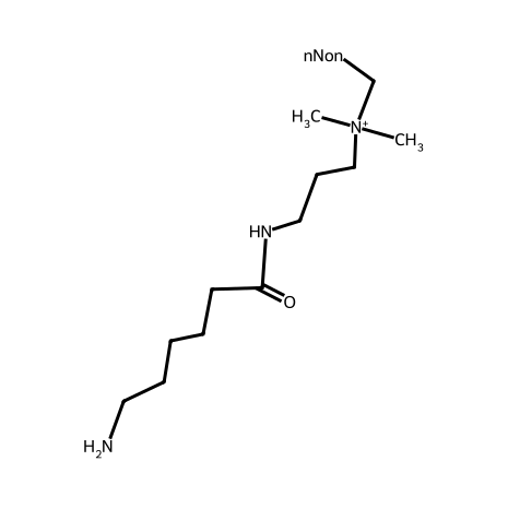 CCCCCCCCCC[N+](C)(C)CCCNC(=O)CCCCCN